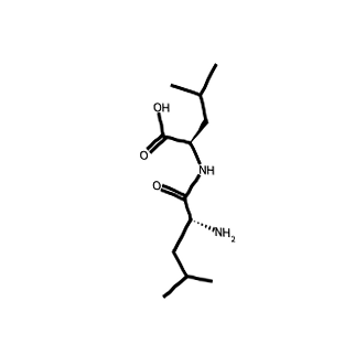 CC(C)C[C@@H](N)C(=O)N[C@H](CC(C)C)C(=O)O